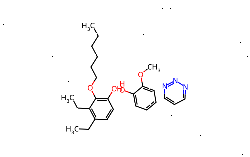 CCCCCCOc1c(O)ccc(CC)c1CC.COc1ccccc1O.c1cnnnc1